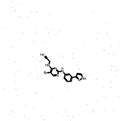 C#CCNc1nc(Nc2cccc(-c3cc[nH]n3)c2)ncc1Br